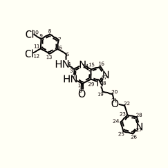 O=c1[nH]c(NCc2ccc(Cl)c(Cl)c2)nc2cnn(CCOCc3cccnc3)c12